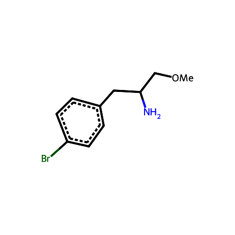 COCC(N)Cc1ccc(Br)cc1